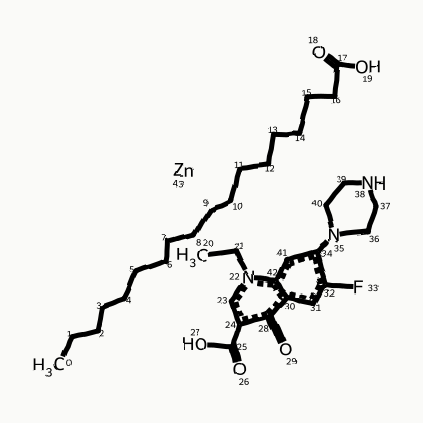 CCCCCCCCCCCCCCCCCC(=O)O.CCn1cc(C(=O)O)c(=O)c2cc(F)c(N3CCNCC3)cc21.[Zn]